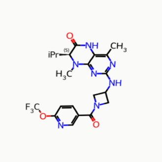 Cc1nc(NC2CN(C(=O)c3ccc(OC(F)(F)F)nc3)C2)nc2c1NC(=O)[C@H](C(C)C)N2C